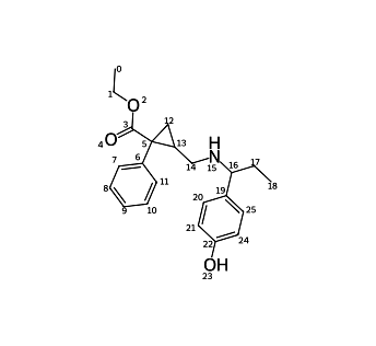 CCOC(=O)C1(c2ccccc2)CC1CNC(CC)c1ccc(O)cc1